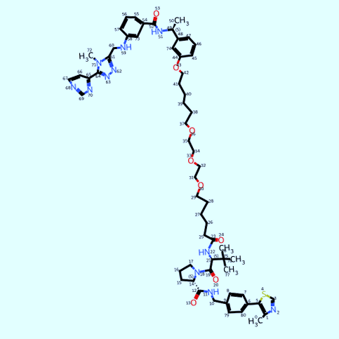 Cc1ncsc1-c1ccc(CNC(=O)[C@@H]2CCCN2C(=O)[C@@H](NC(=O)CCCCCOCCOCCOCCCCCCOc2cccc([C@H](C)NC(=O)c3cccc(NCc4nnc(-c5ccncn5)n4C)c3)c2)C(C)(C)C)cc1